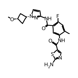 CO[C@H]1C[C@H](n2ccc(NC(=O)c3cc(NC(=O)c4cnc(N)s4)c(C)cc3F)n2)C1